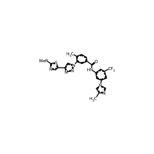 CNc1ncc(-c2cn(-c3cc(C(=O)Nc4cc(-n5cnc(C)c5)cc(C(F)(F)F)c4)ccc3C)nn2)s1